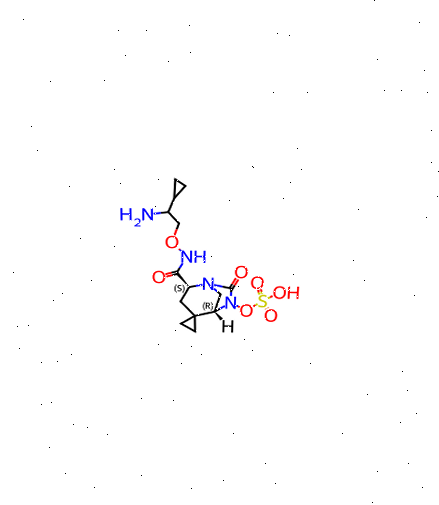 NC(CONC(=O)[C@@H]1CC2(CC2)[C@@H]2CN1C(=O)N2OS(=O)(=O)O)C1CC1